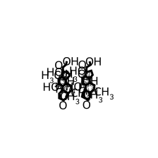 C[C@H]1C[C@@H]2[C@H]([C@@H](O)C[C@@]3(C)[C@H]2CC[C@]3(O)C(=O)CO)[C@@]2(C)C=CC(=O)C=C12.C[C@H]1C[C@@H]2[C@H]([C@@H](O)C[C@@]3(C)[C@H]2CC[C@]3(O)C(=O)CO)[C@@]2(C)C=CC(=O)C=C12